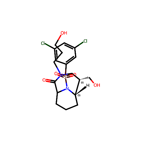 O=C1C2CCC[C@@H]([C@@H](CO)CN1CCCO)N2S(=O)(=O)c1cc(Cl)cc(Cl)c1